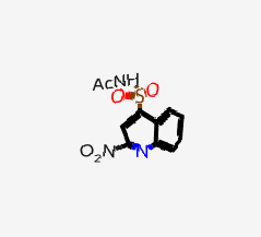 CC(=O)NS(=O)(=O)c1cc([N+](=O)[O-])nc2ccccc12